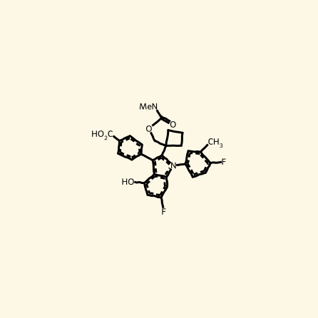 CNC(=O)OCC1(c2c(-c3ccc(C(=O)O)cc3)c3c(O)cc(F)cc3n2-c2ccc(F)c(C)c2)CCC1